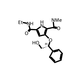 CCNC(=O)c1cc(O[C@@H](CO)c2ccccc2)c(C(=O)NC)[nH]1